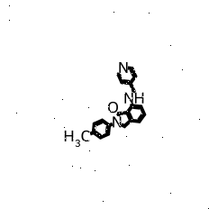 Cc1ccc(N2Cc3cccc(NCc4ccncc4)c3C2=O)cc1